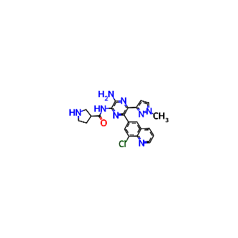 Cn1ccc(-c2nc(N)c(NC(=O)C3CCNC3)nc2-c2cc(Cl)c3ncccc3c2)n1